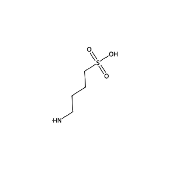 [NH]CCCCS(=O)(=O)O